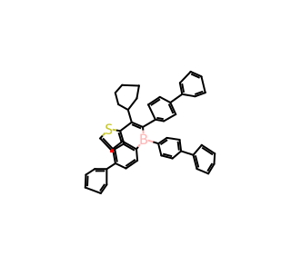 c1ccc(-c2ccc(B(/C(=C(\c3cccs3)C3CCCCC3)c3ccc(-c4ccccc4)cc3)c3ccc(-c4ccccc4)cc3)cc2)cc1